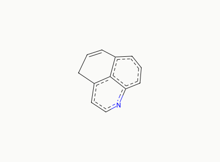 C1=Cc2cccc3nccc(c23)C1